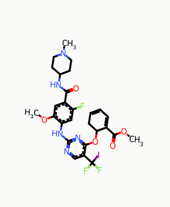 COC(=O)C1=CC=CCC1Oc1nc(Nc2cc(F)c(C(=O)NC3CCN(C)CC3)cc2OC)ncc1C(F)(F)I